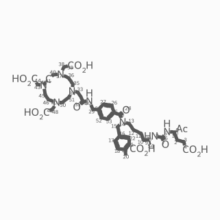 CC(=O)[C@@H](CCC(=O)O)NC(=O)N[C@H](CCCCN(Cc1ccc(C)cc1)C(=O)c1ccc(CNC(=O)CN2CCN(CC(=O)O)CCN(CC(=O)O)CCN(CC(=O)O)CC2)cc1)C(=O)O